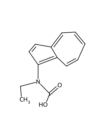 CCN(C(=O)O)c1ccc2cccccc1-2